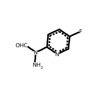 NN(C=O)c1ccc(F)cn1